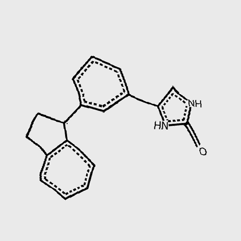 O=c1[nH]cc(-c2cccc([C]3CCc4ccccc43)c2)[nH]1